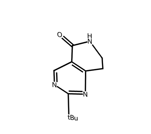 CC(C)(C)c1ncc2c(n1)CCNC2=O